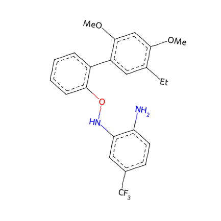 CCc1cc(-c2ccccc2ONc2cc(C(F)(F)F)ccc2N)c(OC)cc1OC